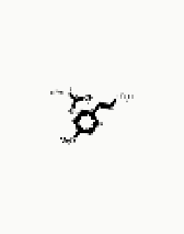 CCCCCC(O)CC.COc1ccc(C=CC(=O)O)cc1